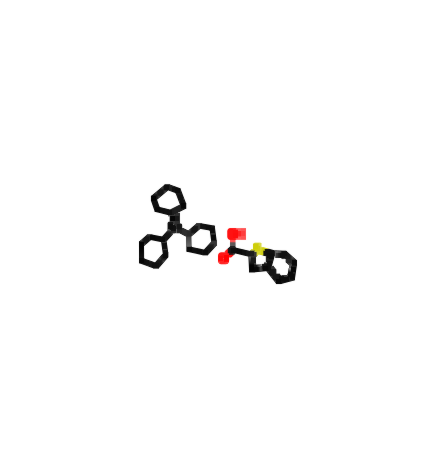 C1CC[CH]([SnH]([CH]2CCCCC2)[CH]2CCCCC2)CC1.O=C(O)c1cc2ccccc2s1